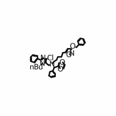 CCCCn1c(-c2ccccc2)nc(Cl)c1CN(CCCCCc1cc(OCc2ccccc2)no1)C(C1=CC=CCC1)C1=COC=CO1